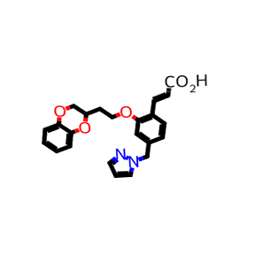 O=C(O)C=Cc1ccc(Cn2cccn2)cc1OCCC1COc2ccccc2O1